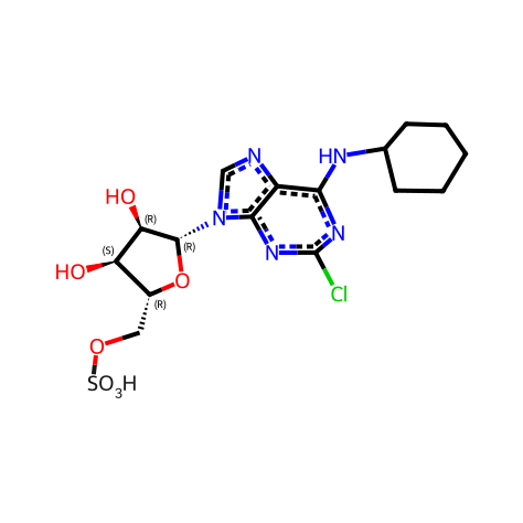 O=S(=O)(O)OC[C@H]1O[C@@H](n2cnc3c(NC4CCCCC4)nc(Cl)nc32)[C@H](O)[C@@H]1O